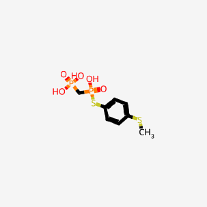 CSc1ccc(SP(=O)(O)CP(=O)(O)O)cc1